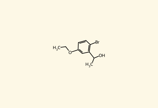 CCOc1ccc(Br)c(C(C)O)c1